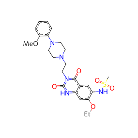 CCOc1cc2[nH]c(=O)n(CCN3CCN(c4ccccc4OC)CC3)c(=O)c2cc1NS(C)(=O)=O